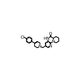 O=C1Nc2cc(CN3CC=C(c4ccc(Cl)cc4)CC3)cnc2N2CCCCC12